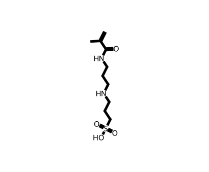 C=C(C)C(=O)NCCCNCCCS(=O)(=O)O